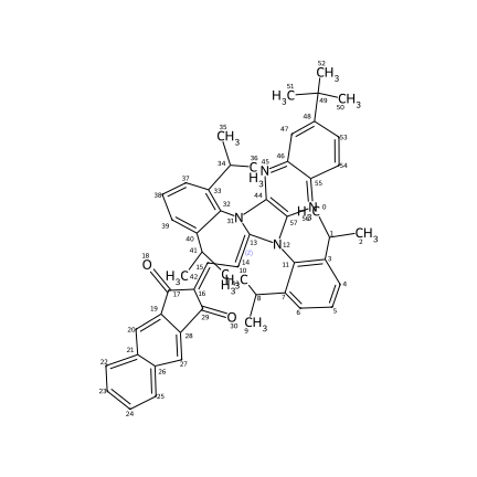 CC(C)c1cccc(C(C)C)c1N1/C(=C/C=C2C(=O)c3cc4ccccc4cc3C2=O)N(c2c(C(C)C)cccc2C(C)C)c2nc3cc(C(C)(C)C)ccc3nc21